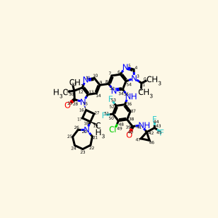 CC(C)n1cnc2cc(-c3cnc4c(c3)N([C@H]3C[C@@](C)(N5CCCCCC5)C3)C(=O)C4(C)C)nc(Nc3cc(C(=O)NC4(C(F)F)CC4)c(Cl)c(F)c3F)c21